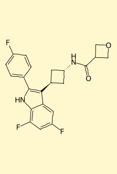 O=C(N[C@H]1C[C@H](c2c(-c3ccc(F)cc3)[nH]c3c(F)cc(F)cc32)C1)C1COC1